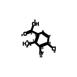 Nc1c(C(=O)O)ccc(Cl)c1Br